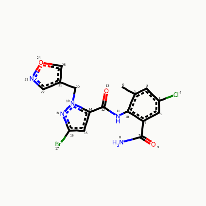 Cc1cc(Cl)cc(C(N)=O)c1NC(=O)c1cc(Br)nn1Cc1cnoc1